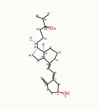 C=C1CC[C@H](O)C/C1=C/C=C1CCC[C@@]2(C)C1CC[C@@H]2[C@H](C)CCC(=O)C(C)C